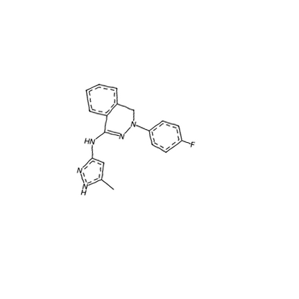 Cc1cc(NC2=NN(c3ccc(F)cc3)Cc3ccccc32)n[nH]1